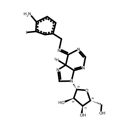 [2H]C12N=CN([C@@H]3O[C@H](CO)[C@@H](O)[C@H]3O)C1=NC=NC2=NCc1ccc(N)c(I)c1